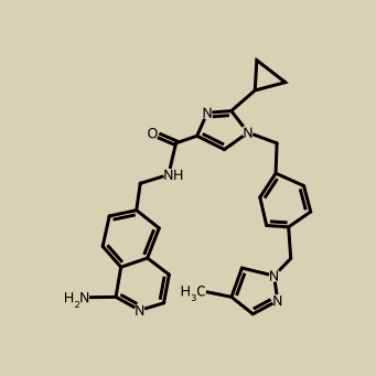 Cc1cnn(Cc2ccc(Cn3cc(C(=O)NCc4ccc5c(N)nccc5c4)nc3C3CC3)cc2)c1